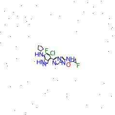 O=C(Nc1cn2cc(-c3c(Cl)c(F)c(NC4CCCC4)c4[nH]ncc34)ncc2n1)C1CC1F